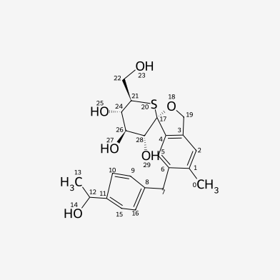 Cc1cc2c(cc1Cc1ccc(C(C)O)cc1)[C@]1(OC2)S[C@H](CO)[C@@H](O)[C@H](O)[C@H]1O